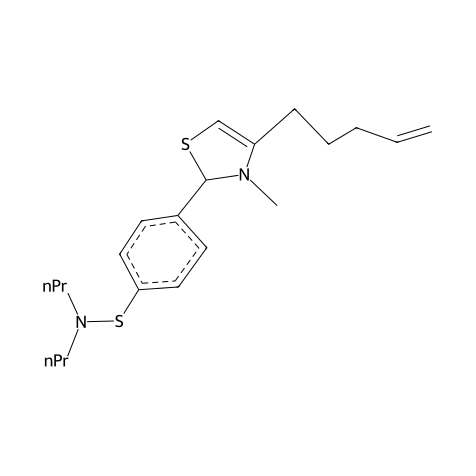 C=CCCCC1=CSC(c2ccc(SN(CCC)CCC)cc2)N1C